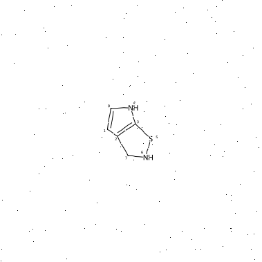 c1cc2c([nH]1)SNC2